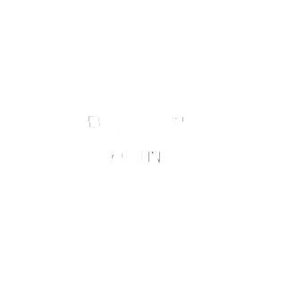 CCC(=O)C(C)C(CC)Nc1c(C)cccc1C